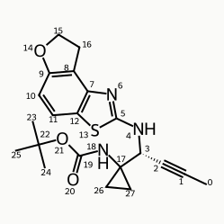 CC#C[C@@H](Nc1nc2c3c(ccc2s1)OCC3)C1(NC(=O)OC(C)(C)C)CC1